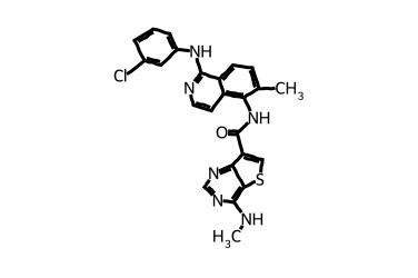 CNc1ncnc2c(C(=O)Nc3c(C)ccc4c(Nc5cccc(Cl)c5)nccc34)csc12